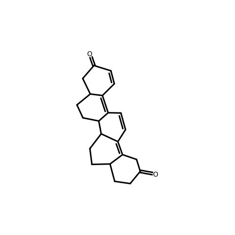 O=C1C=CC2=C3C=CC4=C5CC(=O)CCC5CCC4C3CCC2C1